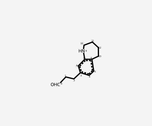 O=CCCc1ccc2c(c1)NCCCC2